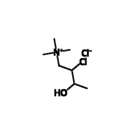 CC(O)C(Cl)C[N+](C)(C)C.[Cl-]